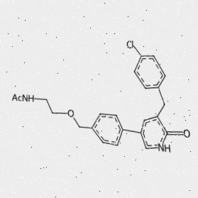 CC(=O)NCCOCc1ccc(-c2c[nH]c(=O)c(Cc3ccc(Cl)cc3)c2)cc1